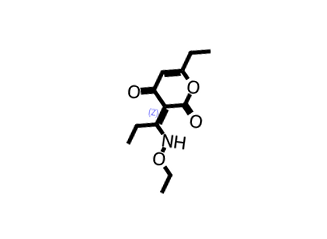 CCON/C(CC)=C1/C(=O)C=C(CC)OC1=O